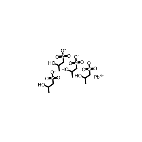 CC(O)CS(=O)(=O)[O-].CC(O)CS(=O)(=O)[O-].CC(O)CS(=O)(=O)[O-].CC(O)CS(=O)(=O)[O-].[Pb+4]